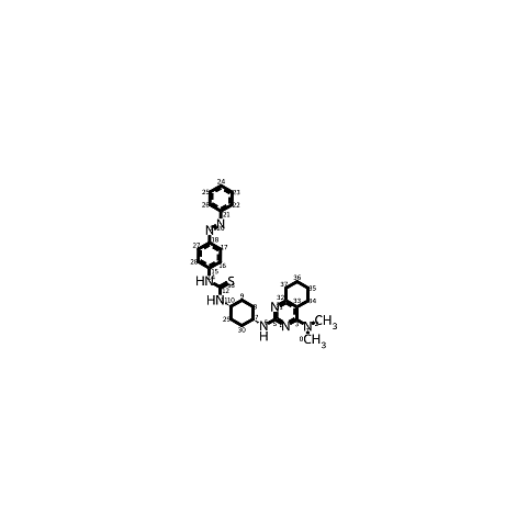 CN(C)c1nc(N[C@H]2CC[C@@H](NC(=S)Nc3ccc(N=Nc4ccccc4)cc3)CC2)nc2c1CCCC2